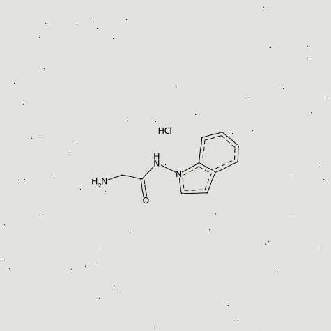 Cl.NCC(=O)Nn1ccc2ccccc21